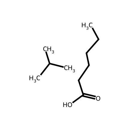 CC(C)C.CCCCCC(=O)O